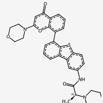 C[C@@H](C(=O)Nc1ccc2sc3c(-c4cccc5c(=O)cc(N6CCOCC6)oc45)cccc3c2c1)N1CCOCC1